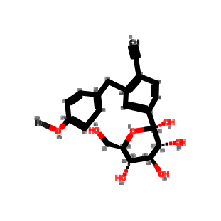 C#Cc1ccc([C@]2(O)O[C@H](CO)[C@@H](O)[C@H](O)[C@H]2O)cc1Cc1ccc(OCC)cc1